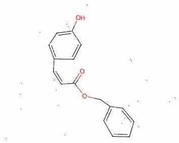 O=C(/C=C\c1ccc(O)cc1)OCc1ccccc1